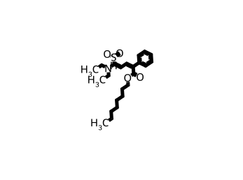 CCCCCCCCOC(=O)C(=CC=C(N(CC)CC)[SH](=O)=O)c1ccccc1